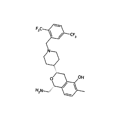 Cc1ccc2c(c1O)C[C@@H](C1CCN(Cc3cc(C(F)(F)F)ccc3C(F)(F)F)CC1)O[C@H]2CN